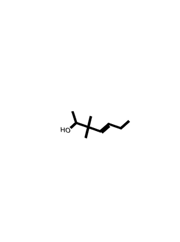 CCC=CC(C)(C)C(C)O